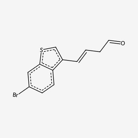 O=CC/C=C/c1csc2cc(Br)ccc12